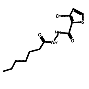 CCCCCCC(=O)NNC(=O)c1sccc1Br